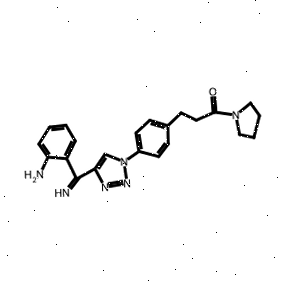 N=C(c1cn(-c2ccc(CCC(=O)N3CCCC3)cc2)nn1)c1ccccc1N